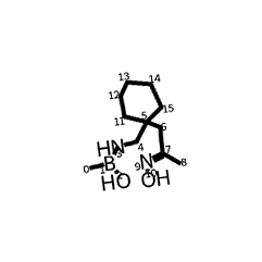 CB(O)NCC1(CC(C)=NO)CCCCC1